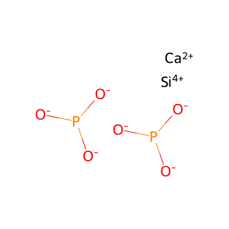 [Ca+2].[O-]P([O-])[O-].[O-]P([O-])[O-].[Si+4]